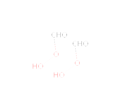 O=COO.O=COO